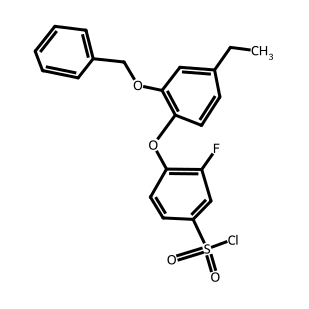 CCc1ccc(Oc2ccc(S(=O)(=O)Cl)cc2F)c(OCc2ccccc2)c1